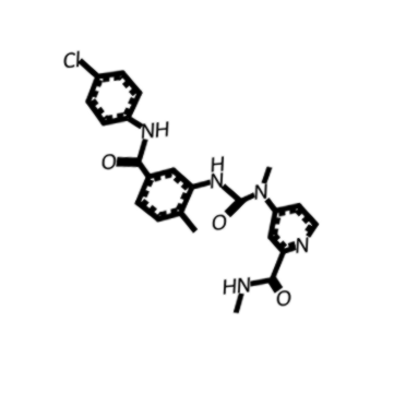 CNC(=O)c1cc(N(C)C(=O)Nc2cc(C(=O)Nc3ccc(Cl)cc3)ccc2C)ccn1